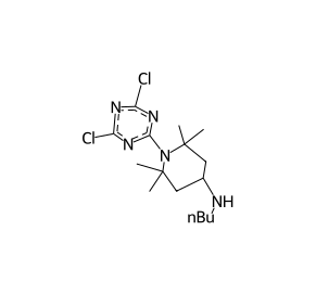 CCCCNC1CC(C)(C)N(c2nc(Cl)nc(Cl)n2)C(C)(C)C1